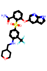 NC(=O)c1cccc(Oc2cnc3[nH]ccc3c2)c1S(=O)(=O)c1ccc(NCC2CCOCC2)c(C(F)(F)F)c1